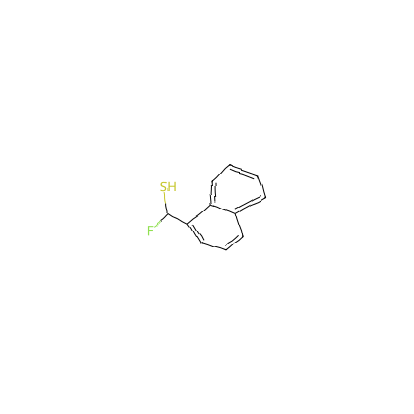 FC(S)c1cccc2ccccc12